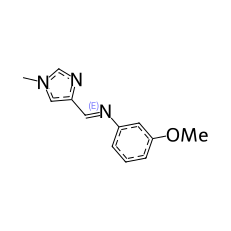 COc1cccc(/N=C/c2cn(C)cn2)c1